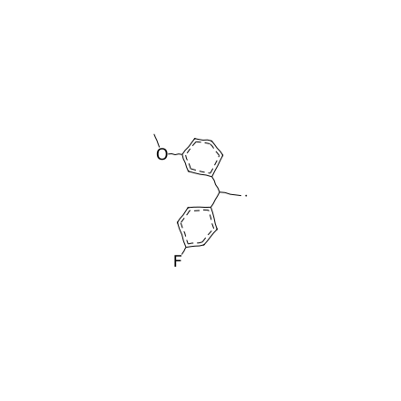 [CH2]C(c1ccc(F)cc1)c1cccc(OC)c1